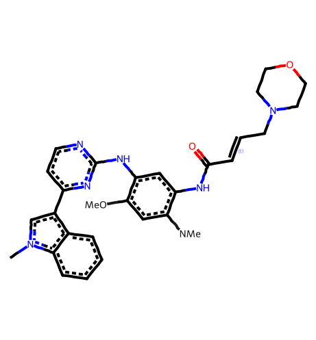 CNc1cc(OC)c(Nc2nccc(-c3cn(C)c4ccccc34)n2)cc1NC(=O)/C=C/CN1CCOCC1